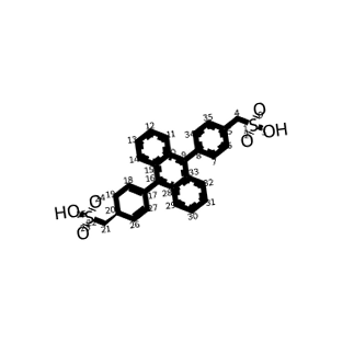 O=S(=O)(O)Cc1ccc(-c2c3ccccc3c(C3=CC[C@H](CS(=O)(=O)O)C=C3)c3ccccc23)cc1